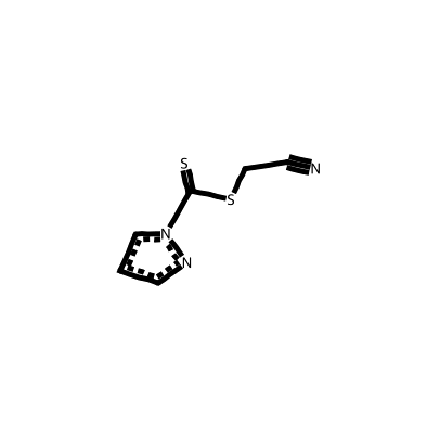 N#CCSC(=S)n1cccn1